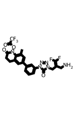 Cc1cc(-c2cccc(-n3nnn(CC(CN)=C(F)F)c3=O)c2)cc2c1N(OC(=O)C(F)(F)F)C(=O)CC2